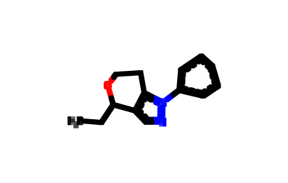 BCC1OCCc2c1cnn2-c1ccccc1